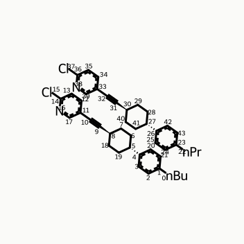 CCCCc1ccc([C@H]2CC[C@H](C#Cc3ccc(Cl)nc3)CC2)cc1.CCCc1ccc([C@H]2CC[C@H](C#Cc3ccc(Cl)nc3)CC2)cc1